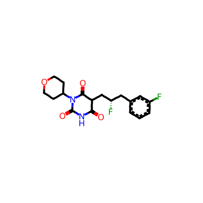 O=C1NC(=O)N(C2CCOCC2)C(=O)C1C[C@@H](F)Cc1cccc(F)c1